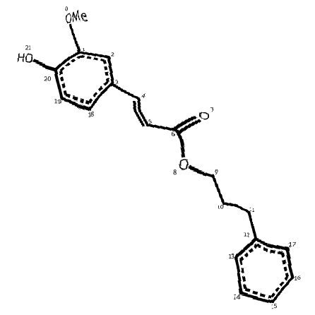 COc1cc(/C=C/C(=O)OCCCc2ccccc2)ccc1O